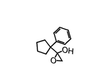 OC1(C2(c3ccccc3)CCCC2)CO1